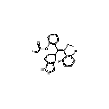 C=CC(=O)Oc1ccccc1/C(=C(\CC)c1c(F)cccc1F)c1ccc2[nH]ncc2c1